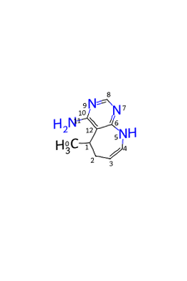 CC1CC=CNc2ncnc(N)c21